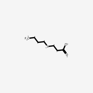 O=C(Cl)CCSCCCC(F)(F)F